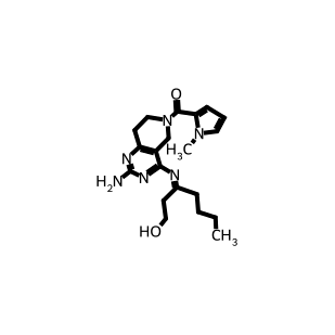 CCCC/C(CCO)=N/c1nc(N)nc2c1CN(C(=O)c1cccn1C)CC2